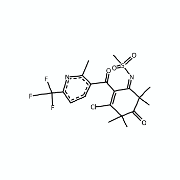 Cc1nc(C(F)(F)F)ccc1C(=O)C1=C(Cl)C(C)(C)C(=O)C(C)(C)C1=NS(C)(=O)=O